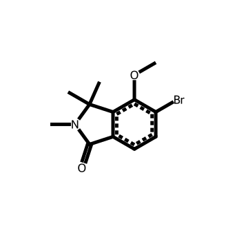 COc1c(Br)ccc2c1C(C)(C)N(C)C2=O